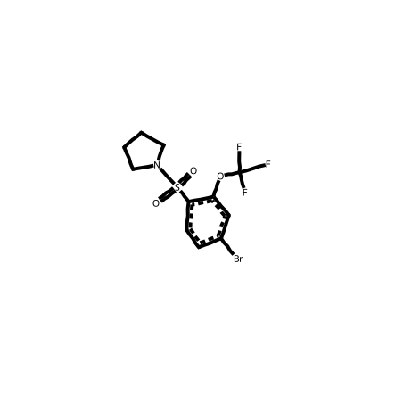 O=S(=O)(c1ccc(Br)cc1OC(F)(F)F)N1CCCC1